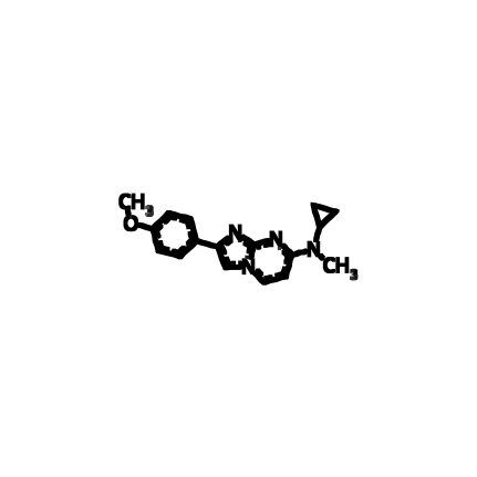 COc1ccc(-c2cn3ccc(N(C)C4CC4)nc3n2)cc1